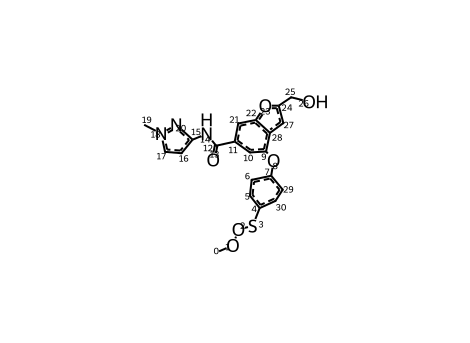 COOSc1ccc(Oc2cc(C(=O)Nc3ccn(C)n3)cc3oc(CO)cc23)cc1